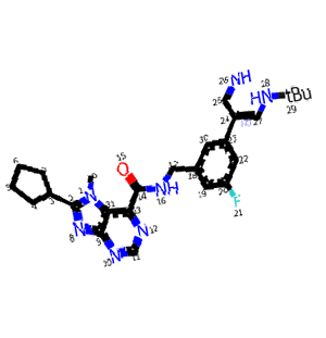 Cn1c(C2CCCC2)nc2ncnc(C(=O)NCc3cc(F)cc(/C(C=N)=C/NC(C)(C)C)c3)c21